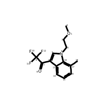 COCCn1cc(C(=O)C(F)(F)F)c2cccc(C)c21